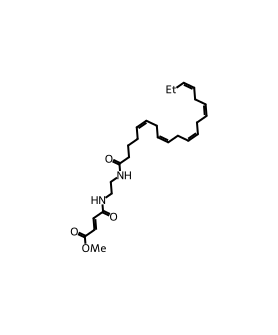 CC/C=C\C/C=C\C/C=C\C/C=C\C/C=C\CCCC(=O)NCCNC(=O)/C=C/C(=O)OC